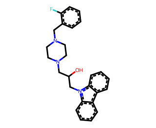 OC(CN1CCN(Cc2ccccc2F)CC1)Cn1c2ccccc2c2ccccc21